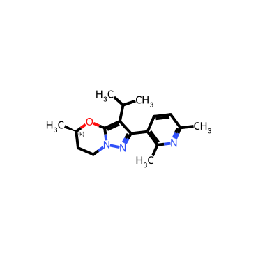 Cc1ccc(-c2nn3c(c2C(C)C)O[C@H](C)CC3)c(C)n1